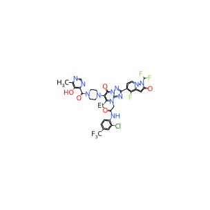 CCc1c(N2CCN(C(=O)c3ncnc(C)c3O)CC2)c(=O)n2nc(-c3ccn4c(cc(=O)n4C(F)F)c3F)nc2n1CC(=O)Nc1ccc(C(F)(F)F)cc1Cl